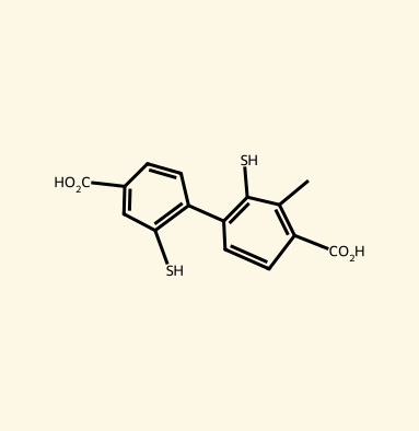 Cc1c(C(=O)O)ccc(-c2ccc(C(=O)O)cc2S)c1S